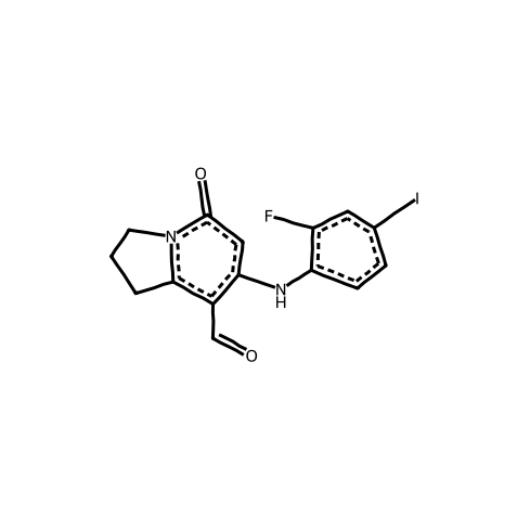 O=Cc1c(Nc2ccc(I)cc2F)cc(=O)n2c1CCC2